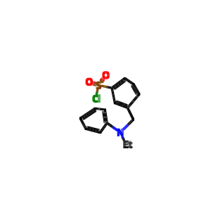 CCN(Cc1cccc(S(=O)(=O)Cl)c1)c1ccccc1